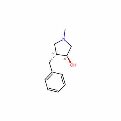 CN1C[C@@H](Cc2ccccc2)[C@H](O)C1